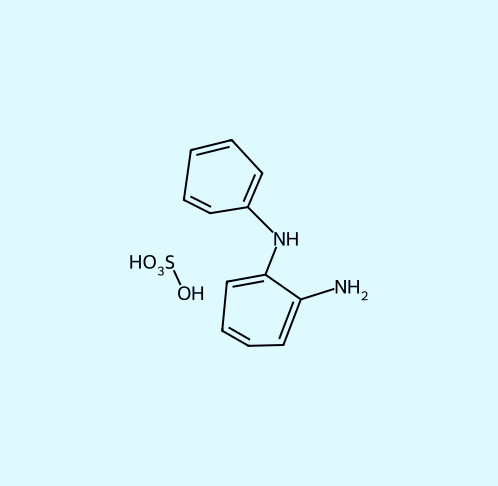 Nc1ccccc1Nc1ccccc1.O=S(=O)(O)O